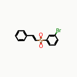 O=S(=O)(C=Cc1ccccc1)c1cccc(Br)c1